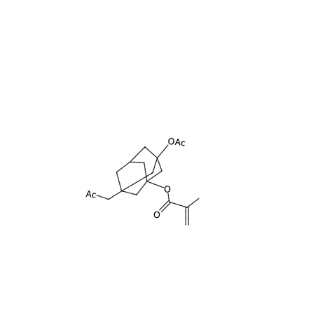 C=C(C)C(=O)OC12CC3CC(CC(C)=O)(CC(OC(C)=O)(C3)C1)C2